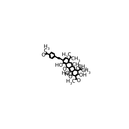 CC(=O)C1=C(O)C(C(C)C)[C@@]2(C)C[C@@]3(C)Cc4c(C(C)C)cc(C#Cc5ccc(C(C)=O)cc5)c(O)c4C(=O)C3=C(O)[C@@]2(O)C1=O